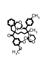 COc1ccc(C(=O)C(CCCC(C)(C(=S)c2ccc(C)cc2)N2CCOCC2)(Cc2ccccc2)N2CCOCC2)cc1OC